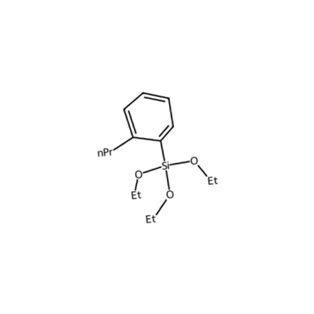 CCCc1ccccc1[Si](OCC)(OCC)OCC